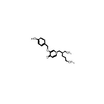 CCCCC(CC)Cn1ccc(=O)c(OCc2ccc(O)cc2)c1